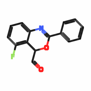 O=CC1OC(c2ccccc2)=Nc2cccc(F)c21